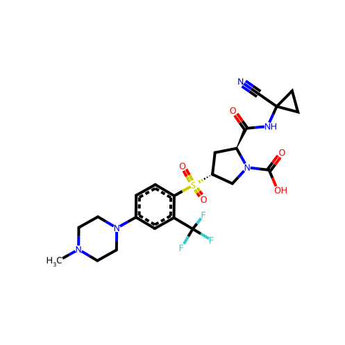 CN1CCN(c2ccc(S(=O)(=O)[C@@H]3C[C@@H](C(=O)NC4(C#N)CC4)N(C(=O)O)C3)c(C(F)(F)F)c2)CC1